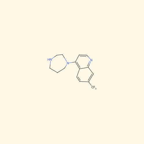 FC(F)(F)c1ccc2c(N3CCCNCC3)ccnc2c1